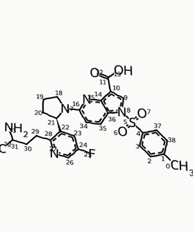 Cc1ccc(S(=O)(=O)n2cc(C(=O)O)c3nc(N4CCC[C@@H]4c4cc(F)cnc4CCC(C)N)ccc32)cc1